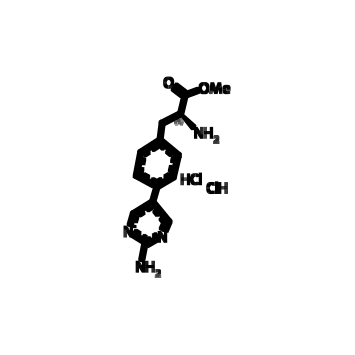 COC(=O)[C@@H](N)Cc1ccc(-c2cnc(N)nc2)cc1.Cl.Cl